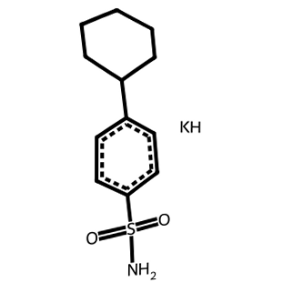 NS(=O)(=O)c1ccc(C2CCCCC2)cc1.[KH]